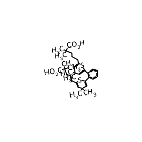 CC1(C)C=C(CCCC(C)(C)C(=O)O)SC(c2ccccc2C2=CC(C)(C)C=C(CCCC(C)(C)C(=O)O)S2)=C1